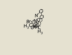 CCCC(Cc1ccc(-c2ccccc2C#N)cc1)C(=O)Nc1ncc(Br)c(C)c1[N+](=O)[O-]